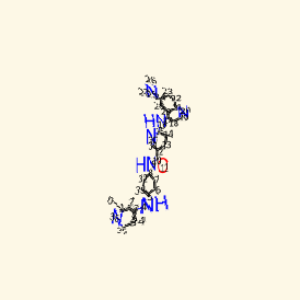 Cc1cc(Nc2ccc(NC(=O)c3ccc(Nc4ccnc5ccc(N(C)C)cc45)nc3)cc2)ccn1